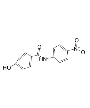 O=C(Nc1ccc([N+](=O)[O-])cc1)c1ccc(O)cc1